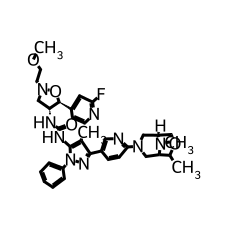 COCCN1C[C@@H](NC(=O)Nc2c(C)c(-c3ccc(N4CC5C(C)OC[C@@H](C4)N5C)nc3)nn2-c2ccccc2)[C@H](c2ccnc(F)c2)O1